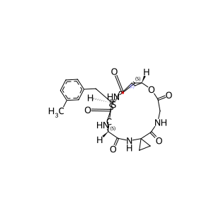 Cc1cccc(C[C@H]2NC(=O)C[C@H]3/C=C/CCSSC[C@@H](NC2=O)C(=O)NC2(CC2)C(=O)NCC(=O)O3)c1